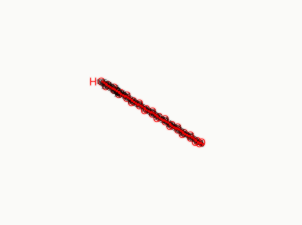 C=CC(=O)OCCOC(=O)CCCCCOC(=O)CCCCCOC(=O)CCCCCOC(=O)CCCCCOC(=O)CCCCCOC(=O)CCCCCOC(=O)CCCCCOC(=O)CCCCCOC(=O)CCCCCOC(=O)CCCCCOC(=O)CCCCCOC(=O)CCCCCOC(=O)CCCCCOC(=O)CCCCCOC(=O)CCCCCO